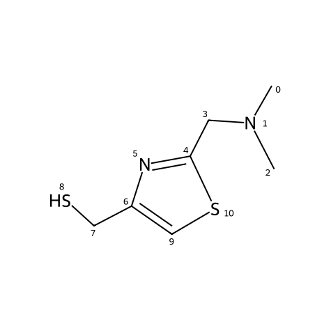 CN(C)Cc1nc(CS)cs1